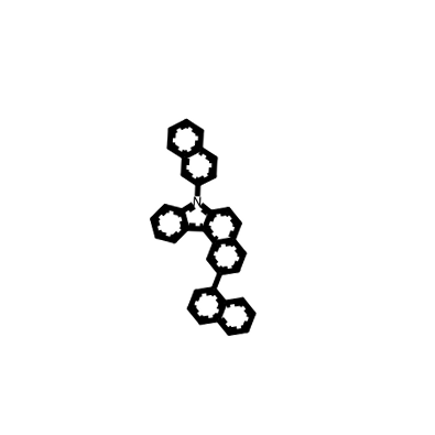 c1ccc2cc(-n3c4ccccc4c4c5cc(-c6cccc7ccccc67)ccc5ccc43)ccc2c1